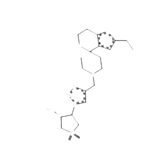 CCc1cc2c(s1)CCO[C@@]21CCN(Cc2cn(C3CS(=O)(=O)C[C@H]3O)nn2)[C@@H](C)C1